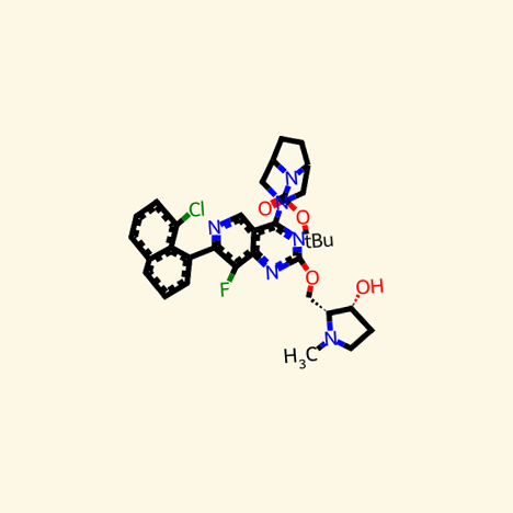 CN1CC[C@@H](O)[C@H]1COc1nc(N2CC3CCC(C2)N3C(=O)OC(C)(C)C)c2cnc(-c3cccc4cccc(Cl)c34)c(F)c2n1